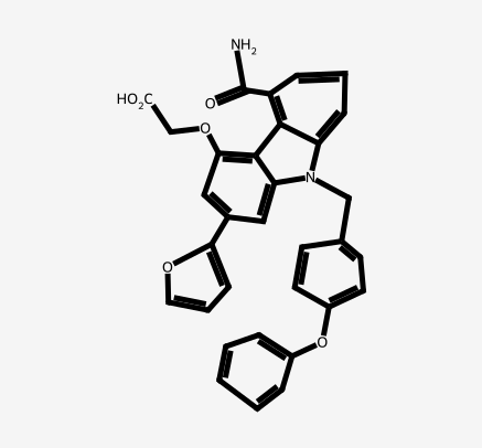 NC(=O)c1cccc2c1c1c(OCC(=O)O)cc(-c3ccco3)cc1n2Cc1ccc(Oc2ccccc2)cc1